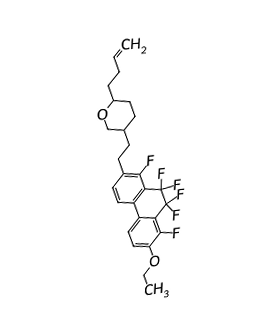 C=CCCC1CCC(CCc2ccc3c(c2F)C(F)(F)C(F)(F)c2c-3ccc(OCC)c2F)CO1